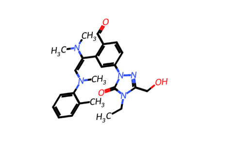 CCn1c(CO)nn(-c2ccc(C=O)c(/C(=C\N(C)c3ccccc3C)N(C)C)c2)c1=O